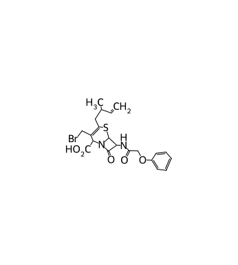 C=CC(C)CC1=C(CBr)C(C(=O)O)N2C(=O)C(NC(=O)COc3ccccc3)C2S1